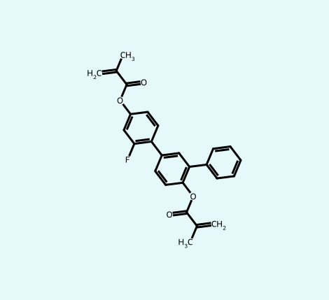 C=C(C)C(=O)Oc1ccc(-c2ccc(OC(=O)C(=C)C)c(-c3ccccc3)c2)c(F)c1